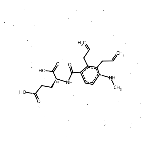 C=CCc1c(NC)ccc(C(=O)N[C@@H](CCC(=O)O)C(=O)O)c1CC=C